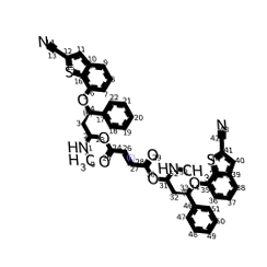 CNC(C[C@@H](Oc1cccc2cc(C#N)sc12)c1ccccc1)OC(=O)/C=C/C(=O)OC(C[C@@H](Oc1cccc2cc(C#N)sc12)c1ccccc1)NC